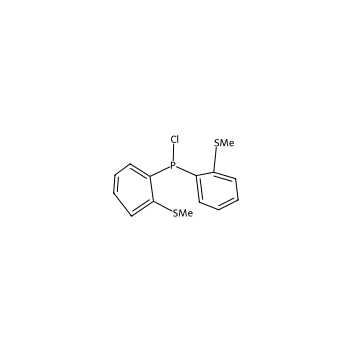 CSc1ccccc1P(Cl)c1ccccc1SC